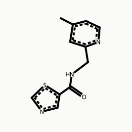 Cc1ccnc(CNC(=O)c2cncs2)c1